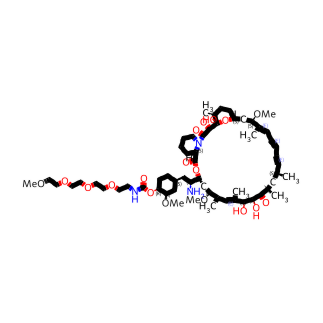 COCCOCCOCCOCCNC(=O)O[C@@H]1CC[C@@H](C[C@@H](N)[C@@H]2C[C@@H](OC)C(C)/C=C(\C)[C@@H](O)[C@@H](O)C(=O)[C@H](C)C[C@H](C)/C=C/C=C/C=C(\C)[C@@H](OC)C[C@@H]3CC[C@@H](C)[C@@](O)(O3)C(=O)C(=O)N3CCCC[C@H]3C(=O)O2)C[C@H]1OC